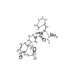 CC[C@@H](N)[C@H](CC1CCCCC1)NC(=O)N1CCC[C@@H](C(OC(C)C)c2cccc(Cl)c2)C1